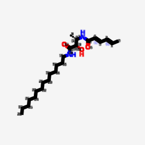 C/C=C/C=C/C(=O)N[C@@H](C)[C@@H](O)C(=O)NCCCCCCCCCCCCCC